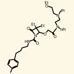 CCCN(CCN(CCOCC)C(C)C)C(=O)COC1N(C(=O)NCCCCc2ccc(C)cc2)C(=O)C1(CC)CC